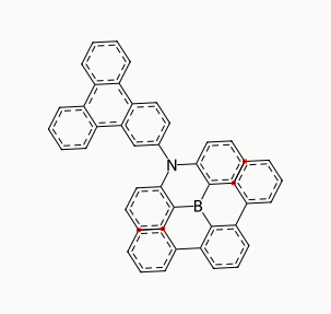 c1ccc(-c2cccc(-c3ccccc3)c2B2c3ccccc3N(c3ccc4c5ccccc5c5ccccc5c4c3)c3ccccc32)cc1